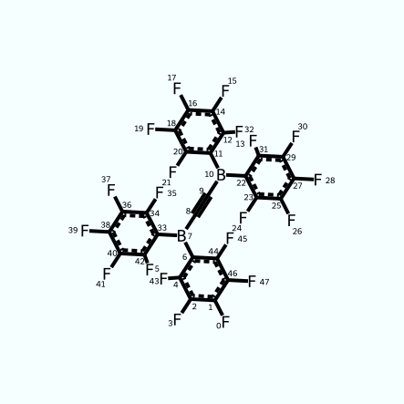 Fc1c(F)c(F)c(B(C#CB(c2c(F)c(F)c(F)c(F)c2F)c2c(F)c(F)c(F)c(F)c2F)c2c(F)c(F)c(F)c(F)c2F)c(F)c1F